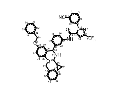 N#Cc1cccc(-n2nc(C(F)(F)F)cc2C(=O)Nc2cccc(C(NCC3CC3)c3cc(OCc4ccccc4)ccc3OCc3ccccc3)c2)c1